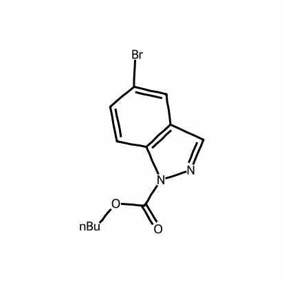 CCCCOC(=O)n1ncc2cc(Br)ccc21